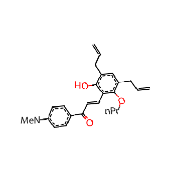 C=CCc1cc(CC=C)c(OCCC)c(C=CC(=O)c2ccc(NC)cc2)c1O